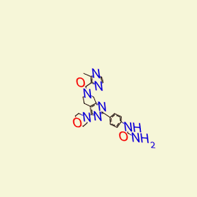 Cc1nccnc1C(=O)N1CCc2c(nc(-c3ccc(NC(N)=O)cc3)nc2N2CCOCC2)C1